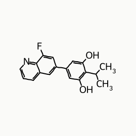 CC(C)c1c(O)cc(-c2cc(F)c3ncccc3c2)cc1O